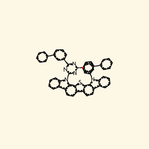 c1ccc(-c2ccc(-c3nc(-c4cccc(-c5ccccc5)c4)nc(-n4c5ccccc5c5ccc6c7ccc8c9ccccc9n(-c9ccccc9)c8c7sc6c54)n3)cc2)cc1